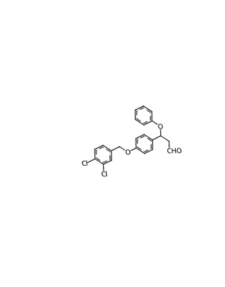 O=CCC(Oc1ccccc1)c1ccc(OCc2ccc(Cl)c(Cl)c2)cc1